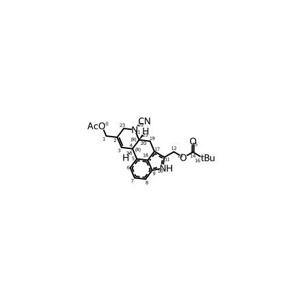 CC(=O)OCC1=C[C@@H]2c3cccc4[nH]c(COC(=O)C(C)(C)C)c(c34)C[C@H]2N(C#N)C1